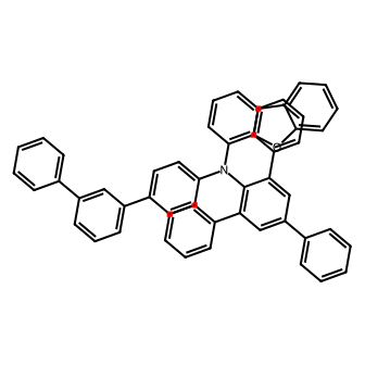 c1ccc(-c2cccc(-c3ccc(N(c4c(-c5ccccc5)cc(-c5ccccc5)cc4-c4ccccc4)c4cccc5c4oc4ccccc45)cc3)c2)cc1